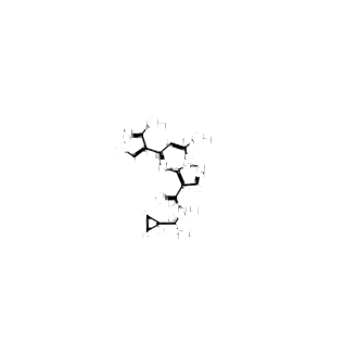 Cc1nscc1-c1cc(C)n2ncc(C(=O)N[C@H](C3CC3)C(F)(F)F)c2n1